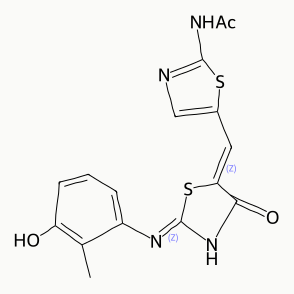 CC(=O)Nc1ncc(/C=C2\S/C(=N\c3cccc(O)c3C)NC2=O)s1